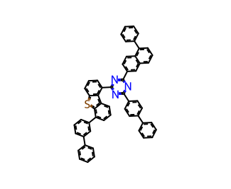 c1ccc(-c2ccc(-c3nc(-c4ccc5c(-c6ccccc6)cccc5c4)nc(-c4cccc5sc6c(-c7cccc(-c8ccccc8)c7)cccc6c45)n3)cc2)cc1